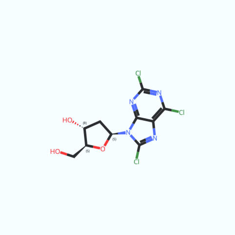 OC[C@@H]1O[C@H](n2c(Cl)nc3c(Cl)nc(Cl)nc32)C[C@H]1O